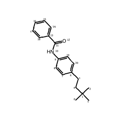 CC(C)(C)CCc1ccc(NC(=O)c2ccccc2)cc1